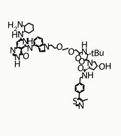 Cc1ncsc1-c1ccc(CNC(=O)[C@@H]2C[C@@H](O)CN2C(=O)[C@@H](NC(=O)COCCOCCn2ccc3c(Nc4nc(N[C@@H]5CCCC[C@@H]5N)cc5nc[nH]c(=O)c45)cccc32)C(C)(C)C)cc1